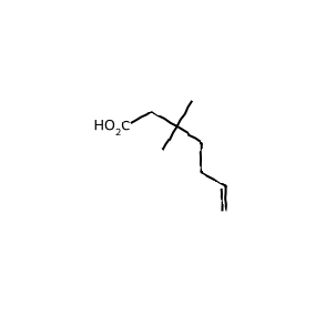 C=CCCC(C)(C)CC(=O)O